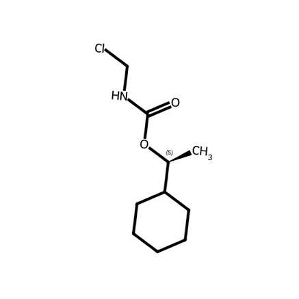 C[C@H](OC(=O)NCCl)C1CCCCC1